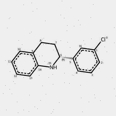 Clc1cccc([C@H]2CCc3ccccc3N2)c1